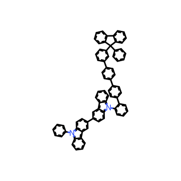 c1ccc(-n2c3ccccc3c3cc(-c4ccc5c(c4)c4ccccc4n5-c4ccccc4-c4ccc(-c5ccc(-c6cccc(C7(c8ccccc8)c8ccccc8-c8ccccc87)c6)cc5)cc4)ccc32)cc1